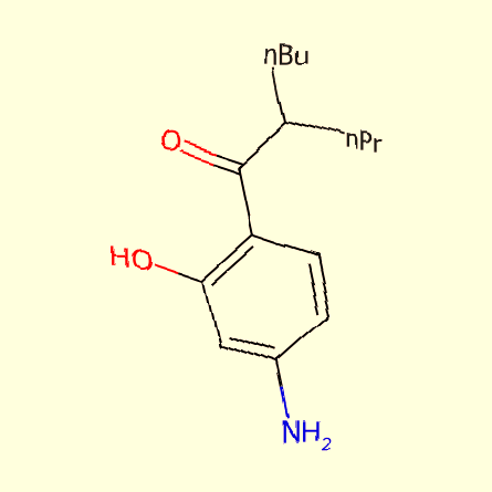 CCCCC(CCC)C(=O)c1ccc(N)cc1O